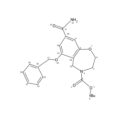 CC(C)(C)OC(=O)N1CCOc2cc(C(N)=O)cc(OCc3ccccc3)c2C1